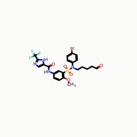 COc1ccc(NC(=O)c2cnc(C(F)(F)F)[nH]2)cc1S(=O)(=O)N(CCCCC=O)c1ccc(Br)cc1